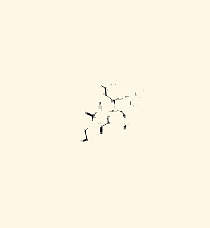 C=CCOC(=O)NC[C@@H](C(O[SiH](C)C)N(C=C=O)OCC=C)[C@@H](C)C(C)(C)C